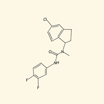 CN(C(=O)Nc1ccc(F)c(F)c1)C1CCc2cc(Cl)ccc21